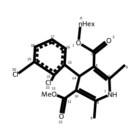 CCCCCCOC(=O)C1=C(C)NC(C)=C(C(=O)OC)C1c1cccc(Cl)c1Cl